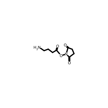 NCCCC(=O)ON1C(=O)CCC1=O